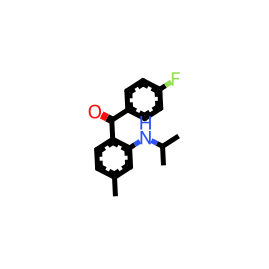 Cc1ccc(C(=O)c2ccc(F)cc2)c(NC(C)C)c1